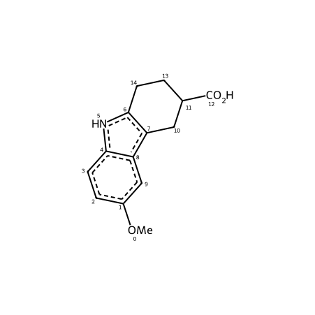 COc1ccc2[nH]c3c(c2c1)CC(C(=O)O)CC3